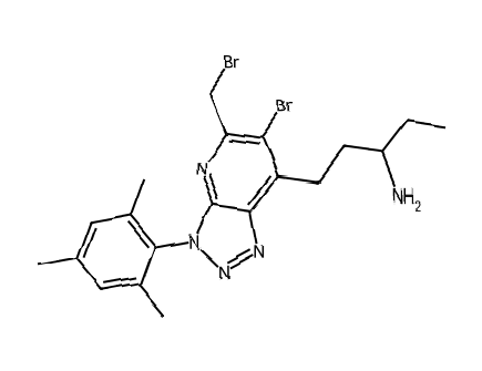 CCC(N)CCc1c(Br)c(CBr)nc2c1nnn2-c1c(C)cc(C)cc1C